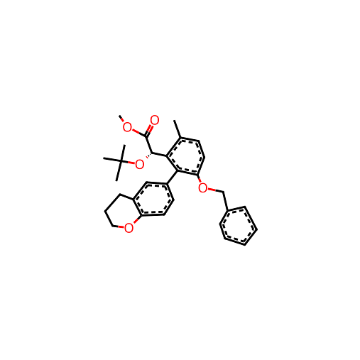 COC(=O)[C@@H](OC(C)(C)C)c1c(C)ccc(OCc2ccccc2)c1-c1ccc2c(c1)CCCO2